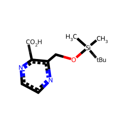 CC(C)(C)[Si](C)(C)OCc1nccnc1C(=O)O